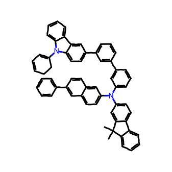 CC1(C)c2ccccc2-c2ccc(N(c3cccc(-c4cccc(-c5ccc6c(c5)c5ccccc5n6C5=CC=CCC5)c4)c3)c3ccc4cc(-c5ccccc5)ccc4c3)cc21